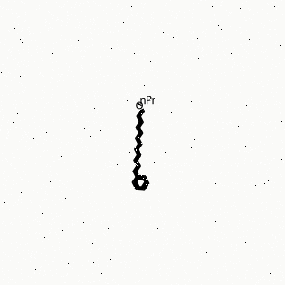 CCCOCCCCCCCCCCCCc1ccccc1